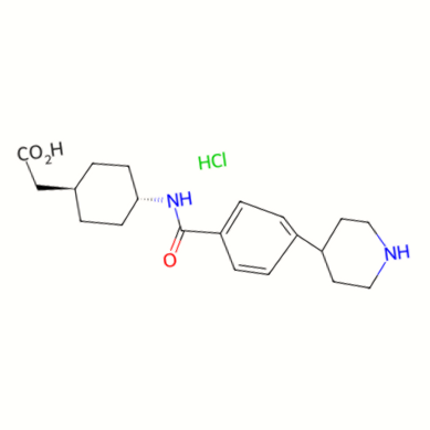 Cl.O=C(O)C[C@H]1CC[C@H](NC(=O)c2ccc(C3CCNCC3)cc2)CC1